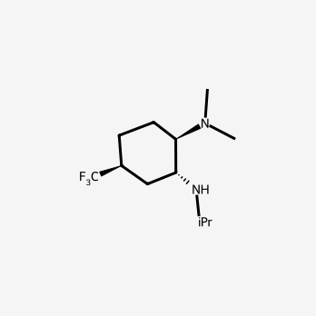 CC(C)N[C@@H]1C[C@@H](C(F)(F)F)CC[C@H]1N(C)C